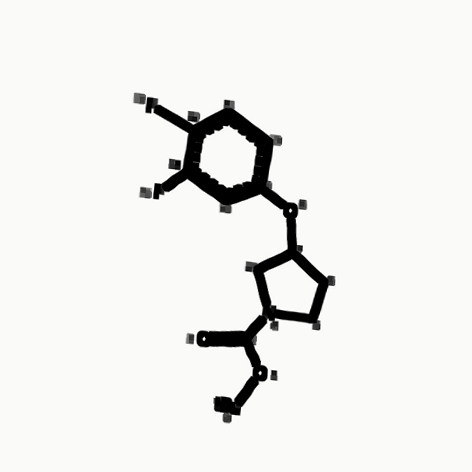 CC(C)(C)OC(=O)N1CCC(Oc2ccc(F)c(F)c2)C1